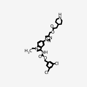 CCn1cc(NC(=O)OCc2cc(Cl)cc(Cl)c2)c2cc(-n3cc(COC(=O)CC4CCNCC4)nn3)ccc21